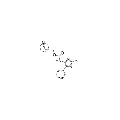 CCc1nc(NC(=O)OCC2CN3CCC2CC3)c(-c2ccccc2)s1